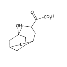 O=C(O)C(=O)C1CC2CC3CC2CC(O)(C3)C1